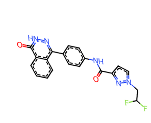 O=C(Nc1ccc(-c2n[nH]c(=O)c3ccccc23)cc1)c1ccn(CC(F)F)n1